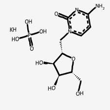 Nc1ccn(C[C@@H]2O[C@H](CO)[C@@H](O)[C@H]2O)c(=O)n1.O=P(O)(O)O.[KH]